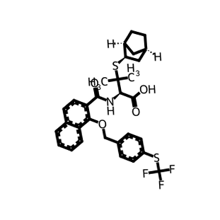 CC(C)(S[C@@H]1C[C@@H]2CC[C@H]1C2)[C@H](NC(=O)c1ccc2ccccc2c1OCc1ccc(SC(F)(F)F)cc1)C(=O)O